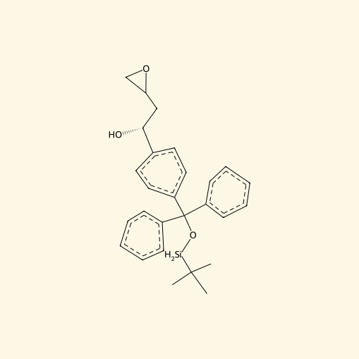 CC(C)(C)[SiH2]OC(c1ccccc1)(c1ccccc1)c1ccc([C@H](O)CC2CO2)cc1